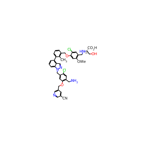 COc1cc(OCc2cccc(-c3cccc4c3cnn4Cc3cc(OCc4cncc(C#N)c4)c(CN)cc3Cl)c2C)c(Cl)cc1CN[C@@H](CO)C(=O)O